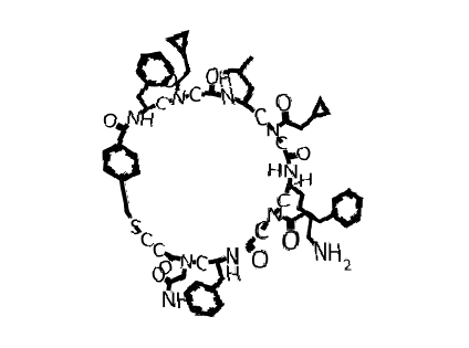 CC(C)CC1CN(C(=O)CC2CC2)CC(=O)N[C@@H](CCCCN)CN(C(=O)CCc2ccccc2)CC(=O)NC(Cc2ccccc2)CN(CC(N)=O)C(=O)CCSCc2ccc(cc2)C(=O)NC(Cc2ccccc2)CN(C(=O)CC2CC2)CC(=O)N1